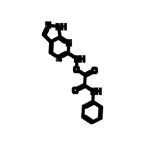 O=C(Nc1ccccc1)C(=O)ONc1ncc2cn[nH]c2n1